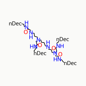 CCCCCCCCCCCCNC(=O)CNCCCN(CCCCNCCCN(CC(=O)NCCCCCCCCCCCC)CC(=O)NCCCCCCCCCCCC)CC(=O)NCCCCCCCCCCCC